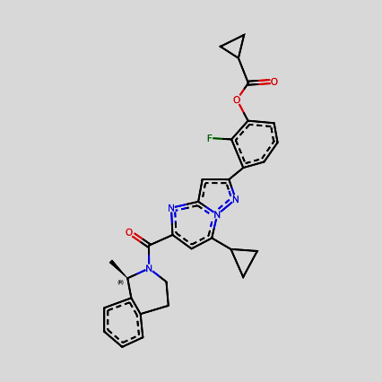 C[C@@H]1c2ccccc2CCN1C(=O)c1cc(C2CC2)n2nc(-c3cccc(OC(=O)C4CC4)c3F)cc2n1